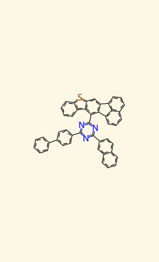 c1ccc(-c2ccc(-c3nc(-c4ccc5ccccc5c4)nc(-c4c5c(cc6sc7ccccc7c46)-c4cccc6cccc-5c46)n3)cc2)cc1